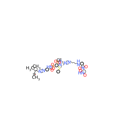 CC1(C)CCC(CN2CCN(c3ccc(C(=O)NS(=O)(=O)c4ccc(N[C@H](CCN5CCN(CCCCCNc6cccc7c6C(=O)N(C6CCC(=O)NC6=O)C7=O)CC5)CSc5ccccc5)c(S(=O)(=O)C(F)(F)F)c4)cc3)CC2)=C(C23CC(C)(C2)C3)C1